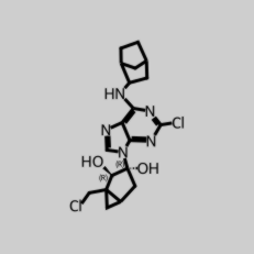 O[C@@H]1C2(CCl)CC2C[C@]1(O)n1cnc2c(NC3CC4CCC3C4)nc(Cl)nc21